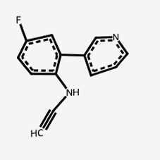 C#CNc1ccc(F)cc1-c1cccnc1